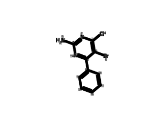 Nc1nc(Cl)c(Br)c(-c2ccccc2)n1